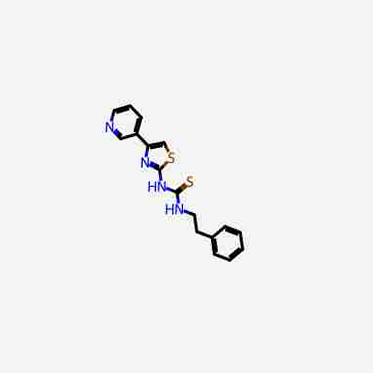 S=C(NCCc1ccccc1)Nc1nc(-c2cccnc2)cs1